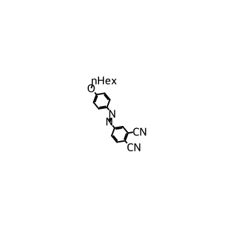 CCCCCCOc1ccc(/N=N/c2ccc(C#N)c(C#N)c2)cc1